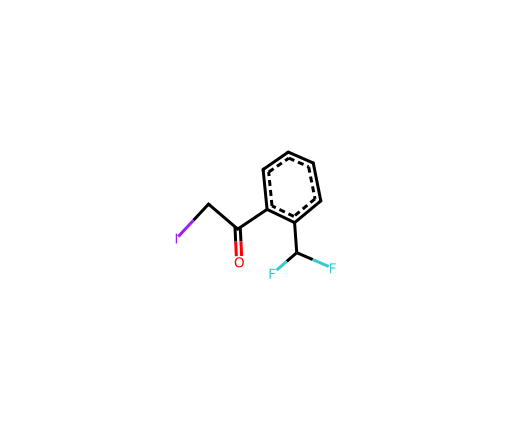 O=C(CI)c1ccccc1C(F)F